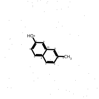 Cc1ccc2ccc(O)cc2c1